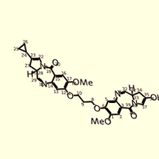 COc1cc2c(cc1OCCCOc1cc3c(cc1OC)C(=O)N1C=C(C4CC4)C[C@H]1C=N3)N=C[C@@H]1CC(O)=CN1C2=O